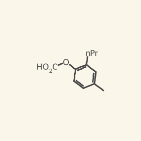 CCCc1cc(C)ccc1OC(=O)O